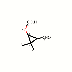 CC1(C)C(C=O)C1OC(=O)O